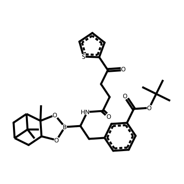 CC(C)(C)OC(=O)c1cccc(CC(NC(=O)CCC(=O)c2cccs2)B2OC3CC4CC(C4(C)C)C3(C)O2)c1